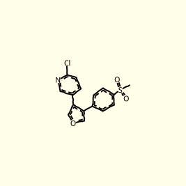 CS(=O)(=O)c1ccc(-c2cocc2-c2ccc(Cl)nc2)cc1